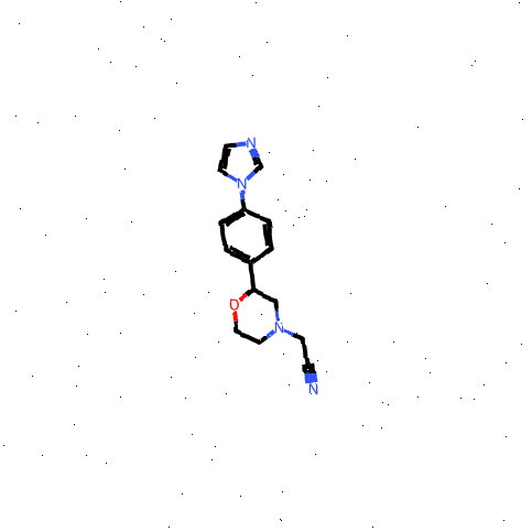 N#CCN1CCOC(c2ccc(-n3ccnc3)cc2)C1